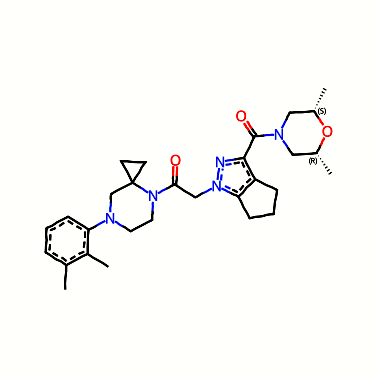 Cc1cccc(N2CCN(C(=O)Cn3nc(C(=O)N4C[C@@H](C)O[C@@H](C)C4)c4c3CCC4)C3(CC3)C2)c1C